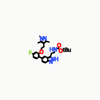 Cc1nn(C)c(C)c1CCOc1cc(F)ccc1-c1ccc2n[nH]c(CCNC(=O)OC(C)(C)C)c2c1